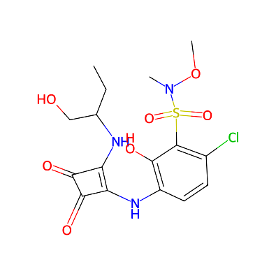 CCC(CO)Nc1c(Nc2ccc(Cl)c(S(=O)(=O)N(C)OC)c2O)c(=O)c1=O